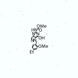 CCc1ccc(Cn2ncc3nc(NC(=O)OC)nc(O)c32)c(OC)c1